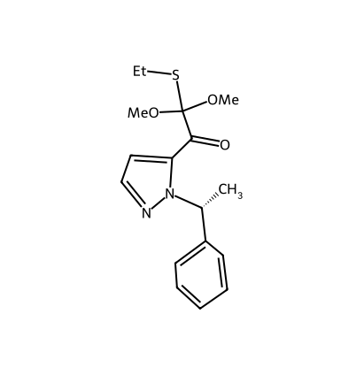 CCSC(OC)(OC)C(=O)c1ccnn1[C@H](C)c1ccccc1